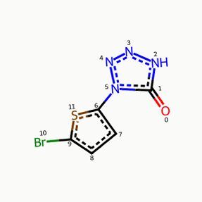 O=c1[nH]nnn1-c1ccc(Br)s1